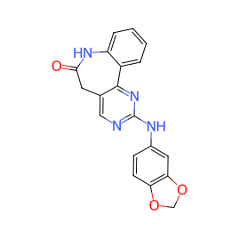 O=C1Cc2cnc(Nc3ccc4c(c3)OCO4)nc2-c2ccccc2N1